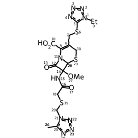 CCn1nnnc1SCC1=C(C(=O)O)N2C(=O)C(NC(=O)CSCn3nnnc3C)(OC)C2SC1